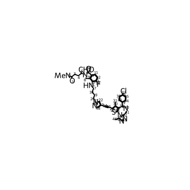 CNC(=O)CCC(C=O)N1Cc2c(ccc(F)c2NCCCCn2cc(C#Cc3sc4c(c3C)C(c3ccc(Cl)cc3)=NCc3nnc(C)n3-4)cn2)C1=O